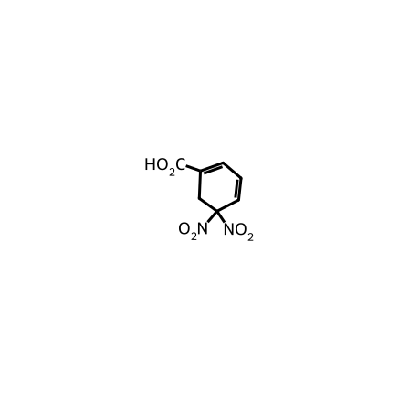 O=C(O)C1=CC=CC([N+](=O)[O-])([N+](=O)[O-])C1